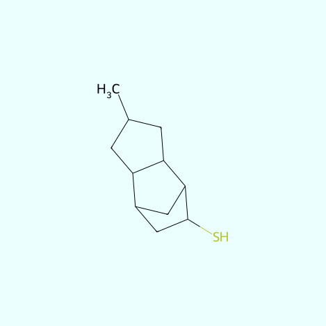 CC1CC2C3CC(S)C(C3)C2C1